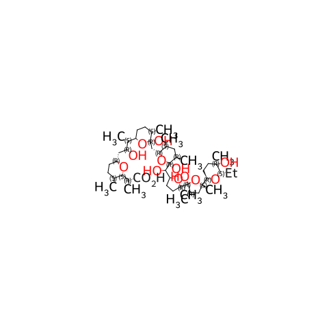 CC[C@@H]1O[C@@H]([C@]2(C)C[C@@H](C)[C@](O)([C@@]3(C)CCC(C(O)[C@]4(O)O[C@H](C[C@@]5(O)OC([C@@H](C)[C@H](O)C[C@H]6CC[C@H](C)[C@@H]([C@@H](C)C(=O)O)O6)CC[C@@H]5C)[C@@H](C)C[C@H]4C)O3)O2)CC[C@@]1(C)O